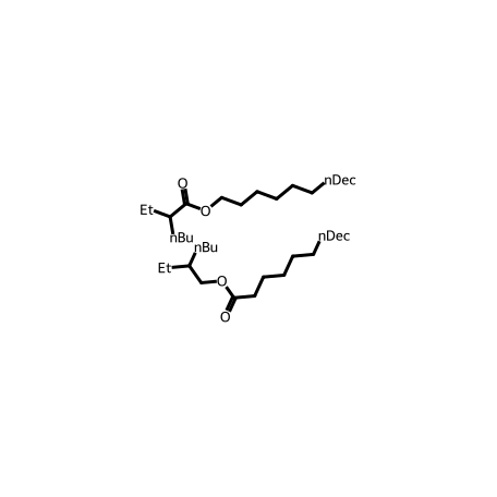 CCCCCCCCCCCCCCCC(=O)OCC(CC)CCCC.CCCCCCCCCCCCCCCCOC(=O)C(CC)CCCC